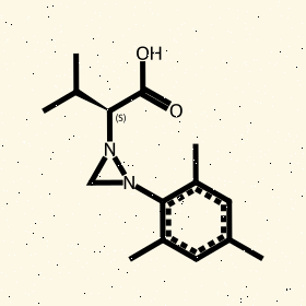 Cc1cc(C)c(N2CN2[C@H](C(=O)O)C(C)C)c(C)c1